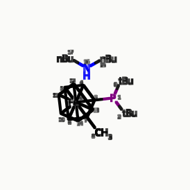 CC(C)(C)P(C(C)(C)C)[C]12[CH]3[CH]4[CH]5[C]1(C)[Fe]45321678[CH]2[CH]1[CH]6[CH]7[CH]28.CCCCNCCCC